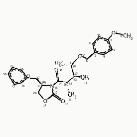 COc1ccc(CO[C@@H](C)[C@@H](O)[C@H](C)C(=O)N2C(=O)OC[C@H]2Cc2ccccc2)cc1